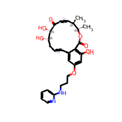 C[C@@H]1/C=C\C(=O)[C@@H](O)[C@@H](O)C/C=C/c2cc(OCCCNc3ccccn3)cc(O)c2C(=O)O[C@H]1C